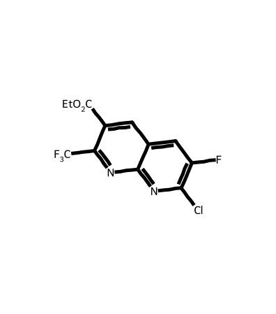 CCOC(=O)c1cc2cc(F)c(Cl)nc2nc1C(F)(F)F